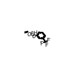 C=COBOc1cccc(C(F)(F)F)c1